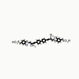 C/C(C#Cc1ccc(-c2ccc(C#C/C(C)=C/COc3ccc(CC(=O)O)cc3Cl)cc2)cc1)=C\COc1ccc(CC(=O)O)cc1Cl